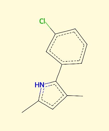 Cc1cc(C)c(-c2cccc(Cl)c2)[nH]1